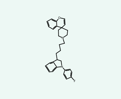 Fc1ccc(N2CC(CCCCN3CCC4(C=COc5ccccc54)CC3)c3ccccc32)cc1